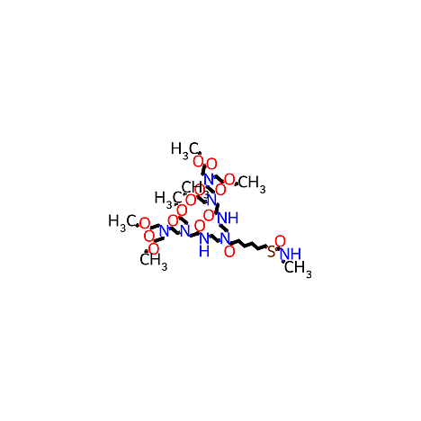 CCNC(=O)SCCCCCC(=O)N(CCNC(=O)CN(CCN(CCOCC)CC(=O)OCC)CC(=O)OCC)CCNC(=O)CN(CCN(CC(=O)OCC)CC(=O)OCC)CC(=O)OCC